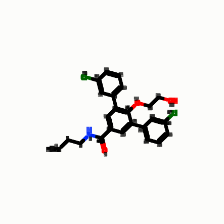 CCCCCCCCCCCCNC(=O)c1cc(-c2cccc(Cl)c2)c(OCCO)c(-c2cccc(Cl)c2)c1